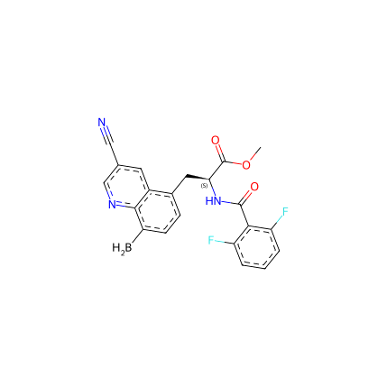 Bc1ccc(C[C@H](NC(=O)c2c(F)cccc2F)C(=O)OC)c2cc(C#N)cnc12